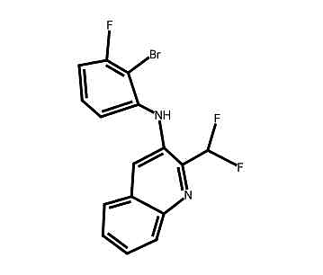 Fc1cccc(Nc2cc3ccccc3nc2C(F)F)c1Br